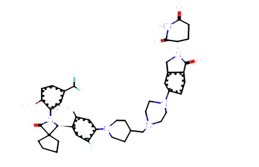 COc1cc(N2CCC(CN3CCN(c4ccc5c(c4)CN([C@H]4CCC(=O)NC4=O)C5=O)CC3)CC2)c(F)cc1[C@@H]1N(c2cc(C(F)F)ccc2O)C(=O)C12CCCC2